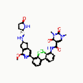 COc1nc(-c2cccc(-c3cccc(NC(=O)c4cn(C)c(=O)n(C)c4=O)c3Cl)c2Cl)cc2c1CC(NC[C@@H]1CCC(=O)N1)C2